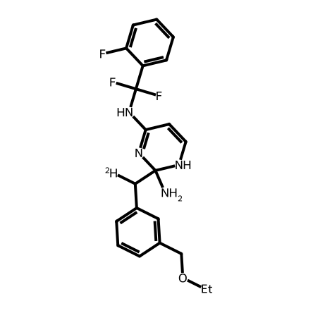 [2H]C(c1cccc(COCC)c1)C1(N)N=C(NC(F)(F)c2ccccc2F)C=CN1